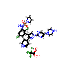 O=C(O)C(F)(F)F.O=S(=O)(Nc1cc(F)cc(-c2cn(-c3ncc(N4CCNCC4)cn3)nc2-c2ccncc2)c1F)N1CCCC1